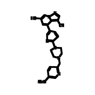 COc1ccc(CN2CCN(c3ccc(-c4cc(O)cn5ncc(C#N)c45)cn3)CC2)nc1